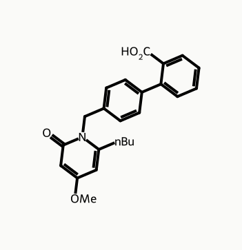 CCCCc1cc(OC)cc(=O)n1Cc1ccc(-c2ccccc2C(=O)O)cc1